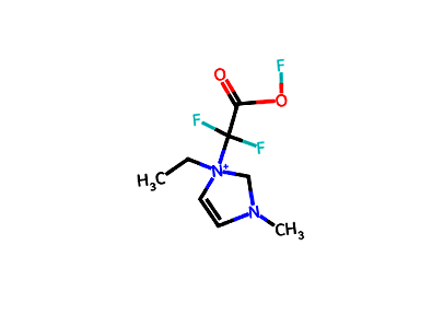 CC[N+]1(C(F)(F)C(=O)OF)C=CN(C)C1